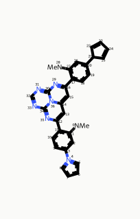 CNc1cc(-n2cccc2)ccc1C1=CC2=CC(c3ccc(C4C=CC=C4)cc3NC)=NC3=NC=NC(=N1)N23